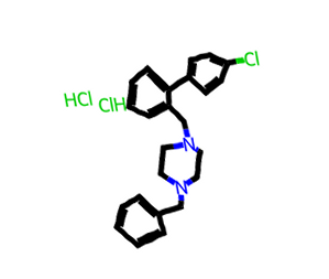 Cl.Cl.Clc1ccc(-c2ccccc2CN2CCN(Cc3ccccc3)CC2)cc1